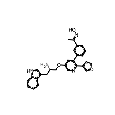 C/C(=N\O)c1cccc(-c2cc(OC[C@@H](N)Cc3c[nH]c4ccccc34)cnc2-c2ccoc2)c1